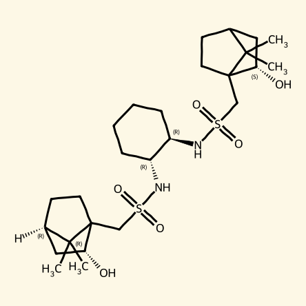 CC1(C)C2CCC1(CS(=O)(=O)N[C@@H]1CCCC[C@H]1NS(=O)(=O)CC13CC[C@H](C[C@H]1O)C3(C)C)[C@@H](O)C2